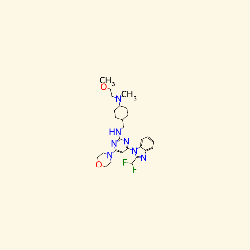 COCCN(C)C1CCC(CNc2nc(N3CCOCC3)cc(-n3c(C(F)F)nc4ccccc43)n2)CC1